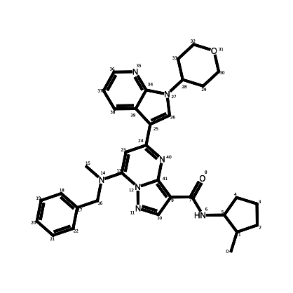 CC1CCCC1NC(=O)c1cnn2c(N(C)Cc3ccccc3)cc(-c3cn(C4CCOCC4)c4ncccc34)nc12